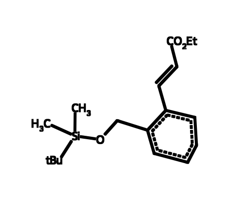 CCOC(=O)/C=C/c1ccccc1CO[Si](C)(C)C(C)(C)C